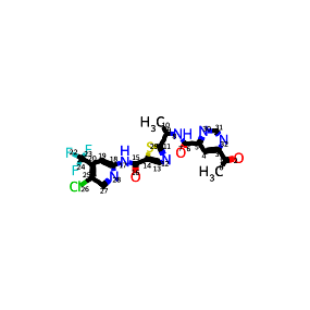 CC(=O)c1cc(C(=O)NC(C)c2ncc(C(=O)Nc3cc(C(F)(F)F)c(Cl)cn3)s2)ncn1